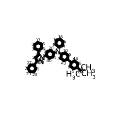 CC(C)(C)c1ccc(-c2ccc(N(c3ccccc3)c3ccc(-n4nc(-c5ccccc5)cc4-c4ccccc4)cc3)cc2)cc1